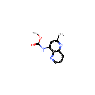 Cc1cc(NC(=O)OC(C)(C)C)c2ncccc2n1